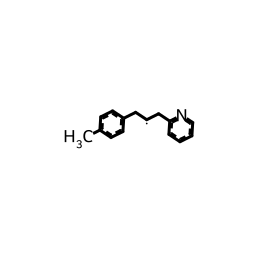 Cc1ccc(C[CH]Cc2ccccn2)cc1